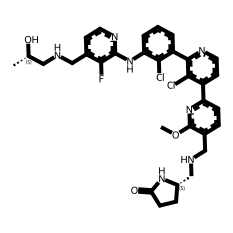 COc1nc(-c2ccnc(-c3cccc(Nc4nccc(CNC[C@H](C)O)c4F)c3Cl)c2Cl)ccc1CNC[C@@H]1CCC(=O)N1